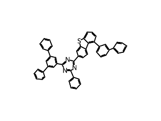 c1ccc(-c2cc(-c3ccccc3)cc(-c3nc(-c4ccccc4)nc(-c4ccc5c(c4)sc4cccc(-c6cccc(-c7ccccc7)c6)c45)n3)c2)cc1